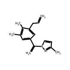 C=CCc1cc(C(=C)n2ccc(C)n2)cc(C)c1C